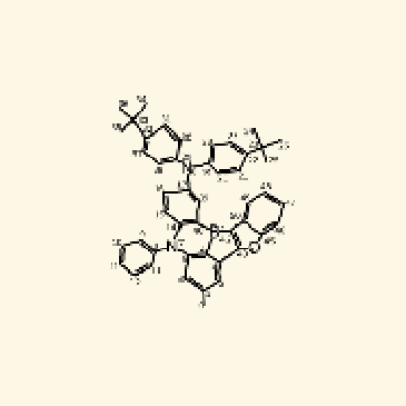 Cc1cc2c3c(c1)N(c1ccccc1)c1ccc(N(c4ccc(C(C)(C)C)cc4)c4ccc(C(C)(C)C)cc4)cc1B3c1c-2oc2ccccc12